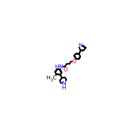 Cc1ccc(NC(=O)CCCOc2ccc(-c3cccnc3)cc2)cc1C1CCNCC1